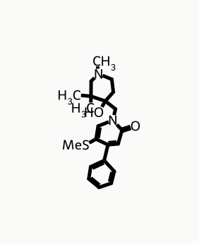 CSc1cn(CC2(O)CCN(C)CC2(C)C)c(=O)cc1-c1ccccc1